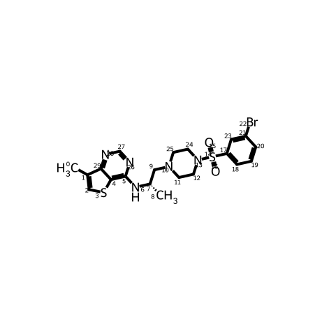 Cc1csc2c(N[C@@H](C)CN3CCN(S(=O)(=O)c4cccc(Br)c4)CC3)ncnc12